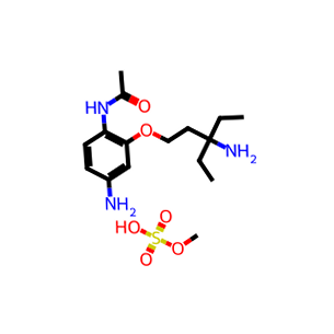 CCC(N)(CC)CCOc1cc(N)ccc1NC(C)=O.COS(=O)(=O)O